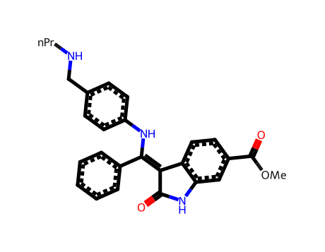 CCCNCc1ccc(NC(=C2C(=O)Nc3cc(C(=O)OC)ccc32)c2ccccc2)cc1